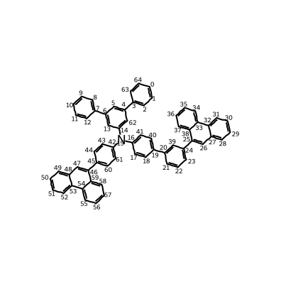 c1ccc(-c2cc(-c3ccccc3)cc(N(c3ccc(-c4cccc(-c5cc6ccccc6c6ccccc56)c4)cc3)c3ccc(-c4cc5ccccc5c5ccccc45)cc3)c2)cc1